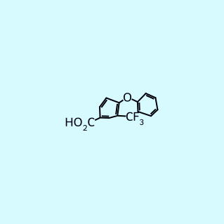 O=C(O)c1ccc(Oc2ccccc2)c(C(F)(F)F)c1